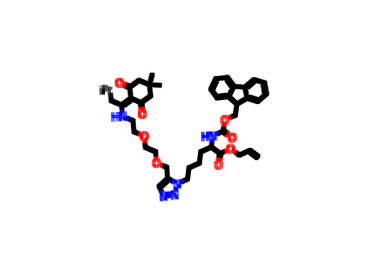 C=CCOC(=O)C(CCCCn1nncc1COCCOCCNC(CC(C)C)=C1C(=O)CC(C)(C)CC1=O)NC(=O)OCC1c2ccccc2-c2ccccc21